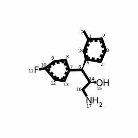 Cc1cccc([C@H](c2ccc(F)cc2)[C@@H](O)CN)c1